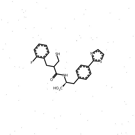 O=C(N[C@@H](Cc1ccc(-c2nccs2)cc1)C(=O)O)C(CS)Cc1ccccc1F